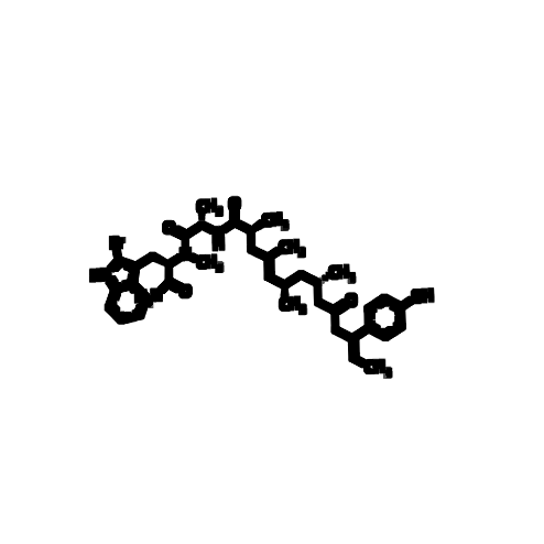 C/C=C(/CC(=O)C[C@@H](C)C[C@@H](C)/C=C(\C)C[C@H](C)C(=O)N[C@@H](C)C(=O)N(C)[C@H](Cc1c(Br)[nH]c2ccccc12)C(N)=O)c1ccc(O)cc1